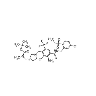 CCS(=O)(=O)c1ccc(Cl)cc1CNC(=O)c1cc(C(F)(F)F)c(CN2CC[C@H](CN(C)C(=O)OC(C)(C)C)C2)c(Cl)c1N